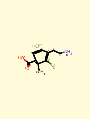 Cc1c(C(=O)O)ccc(CCN)c1Cl.Cl